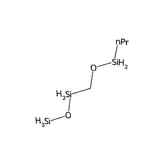 CCC[SiH2]OC[SiH2]O[SiH3]